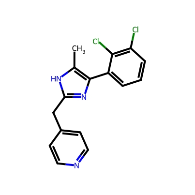 Cc1[nH]c(Cc2ccncc2)nc1-c1cccc(Cl)c1Cl